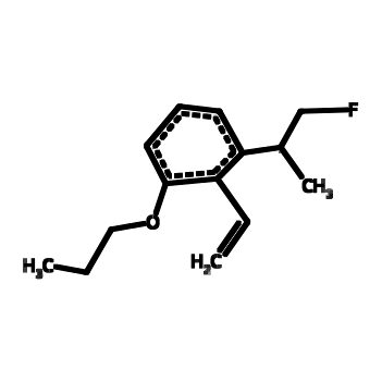 C=Cc1c(OCCC)cccc1[C](C)CF